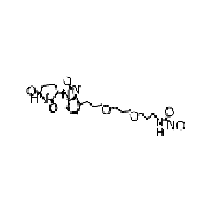 Cn1c(=O)n(C2CCC(=O)NC2=O)c2cccc(CCCOCCCOCCCNC(=O)N=O)c21